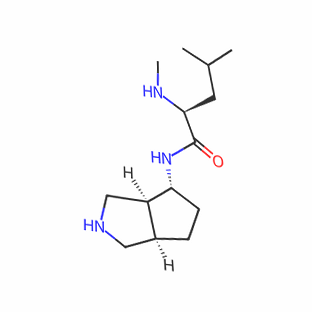 CN[C@@H](CC(C)C)C(=O)N[C@@H]1CC[C@H]2CNC[C@H]21